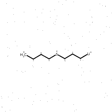 [Li][CH2]CCSCCCC